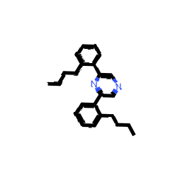 CCCCc1ccccc1-c1cncc(-c2ccccc2CCCC)n1